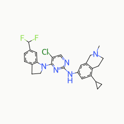 CN1CCc2c(cc(Nc3ncc(Cl)c(N4CCc5ccc(C(F)F)cc54)n3)cc2C2CC2)C1